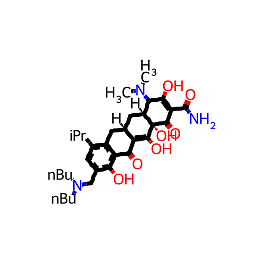 CCCCN(CCCC)Cc1cc(C(C)C)c2c(c1O)C(=O)C1=C(O)[C@]3(O)C(=O)C(C(N)=O)=C(O)C(N(C)C)[C@@H]3C[C@@H]1C2